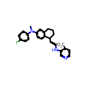 CN(c1ccc(F)cc1)c1ccc2c(c1)CCCC2/C=C/Nc1cnccc1C(=O)O